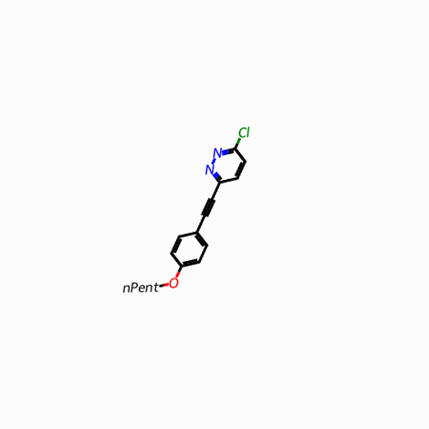 CCCCCOc1ccc(C#Cc2ccc(Cl)nn2)cc1